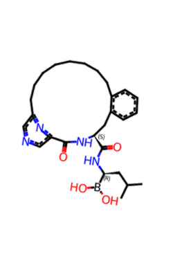 CC(C)C[C@H](NC(=O)[C@@H]1Cc2ccccc2CCCCCCCCc2cncc(n2)C(=O)N1)B(O)O